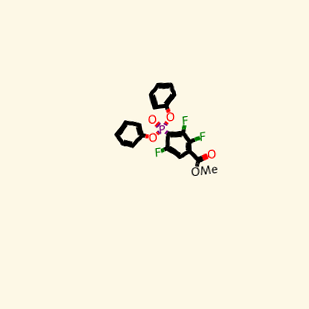 COC(=O)c1cc(F)c(P(=O)(Oc2ccccc2)Oc2ccccc2)c(F)c1F